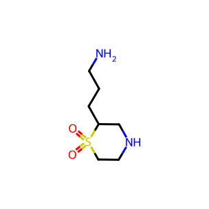 NCCCC1CNCCS1(=O)=O